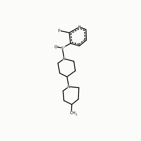 CC1CCN(C2CCN([S+]([O-])c3cccnc3F)CC2)CC1